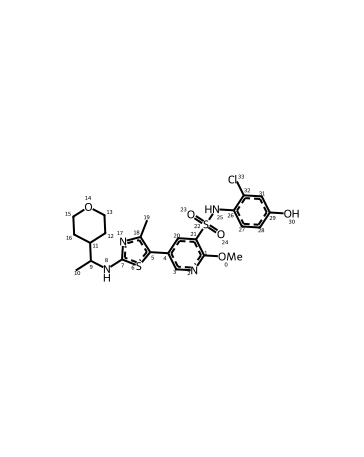 COc1ncc(-c2sc(NC(C)C3CCOCC3)nc2C)cc1S(=O)(=O)Nc1ccc(O)cc1Cl